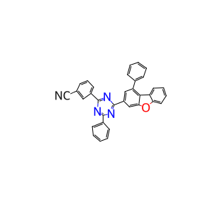 N#Cc1cccc(-c2nc(-c3ccccc3)nc(-c3cc(-c4ccccc4)c4c(c3)oc3ccccc34)n2)c1